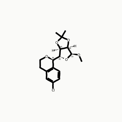 CO[C@H]1O[C@H]([C@@H]2OCCc3cc(Cl)ccc32)[C@H]2OC(C)(C)O[C@@H]12